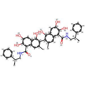 Cc1cc2c(C(=O)NC[C@@H](C)c3ccccc3)c(O)c(O)cc2c(O)c1-c1c(C)cc2c(C(=O)NC[C@H](C)c3ccccc3)c(O)c(O)cc2c1O